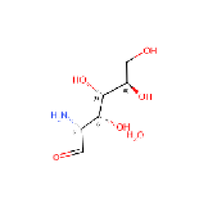 N[C@@H](C=O)[C@@H](O)[C@H](O)[C@H](O)CO.O